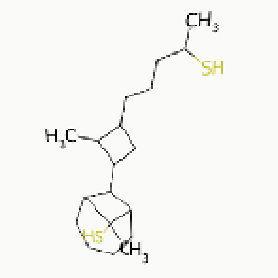 CC(S)CCCC1CC(C2C3CCCCC2C3(C)S)C1C